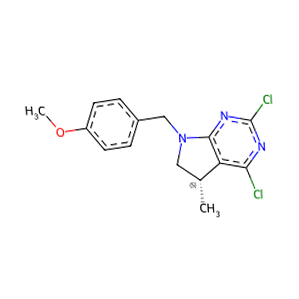 COc1ccc(CN2C[C@@H](C)c3c(Cl)nc(Cl)nc32)cc1